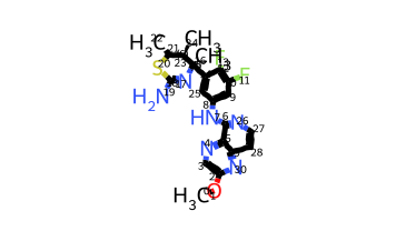 COc1cnc2c(Nc3cc(F)c(F)c([C@@]4(C)N=C(N)SC(C)[C@H]4C)c3)nccc2n1